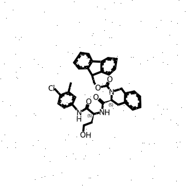 Cc1cc(NC(=O)[C@H](CCO)NC(=O)[C@@H]2Cc3ccccc3CN2C(=O)OCC2c3ccccc3-c3ccccc32)ccc1Cl